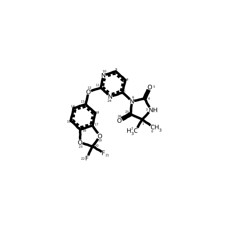 CC1(C)NC(=O)N(c2ccnc(Oc3ccc4c(c3)OC(F)(F)O4)n2)C1=O